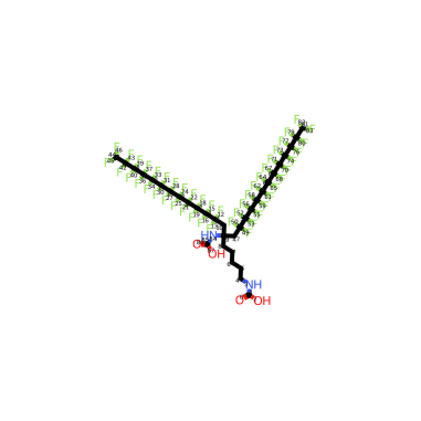 O=C(O)NCCCCCC(CC(F)(F)C(F)(F)C(F)(F)C(F)(F)C(F)(F)C(F)(F)C(F)(F)C(F)(F)C(F)(F)C(F)(F)C(F)(F)C(F)F)(CC(F)(F)C(F)(F)C(F)(F)C(F)(F)C(F)(F)C(F)(F)C(F)(F)C(F)(F)C(F)(F)C(F)(F)C(F)(F)C(F)F)NC(=O)O